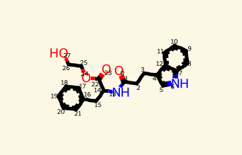 O=C(CCc1c[nH]c2ccccc12)NC(Cc1ccccc1)C(=O)OCCO